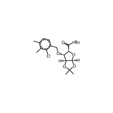 CCCCC(=O)[C@H]1O[C@@H]2OC(C)(C)O[C@@H]2[C@H]1OCc1ccc(C)c(C)c1Cl